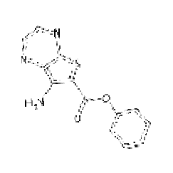 Nc1c(C(=O)Oc2ccccc2)sc2nccnc12